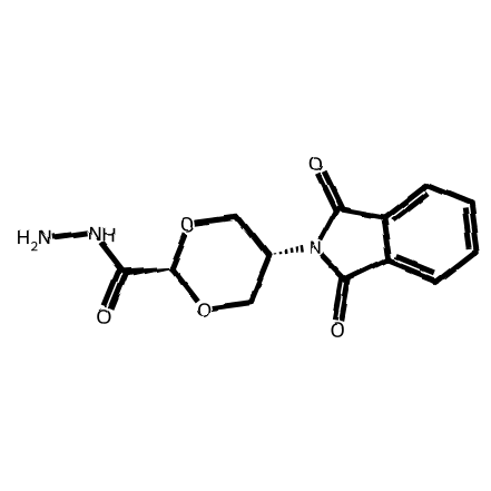 NNC(=O)[C@H]1OC[C@H](N2C(=O)c3ccccc3C2=O)CO1